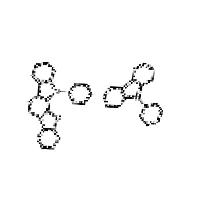 c1ccc(-n2c3ccccc3c3cc(-c4ccc(-n5c6ccccc6c6ccc7c8ccccc8oc7c65)cc4)ccc32)cc1